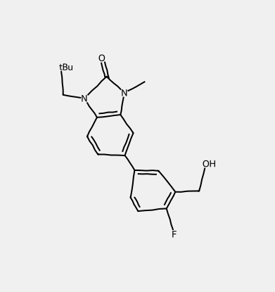 Cn1c(=O)n(CC(C)(C)C)c2ccc(-c3ccc(F)c(CO)c3)cc21